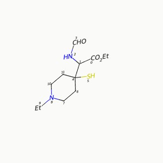 CCOC(=O)C(NC=O)C1(S)CCN(CC)CC1